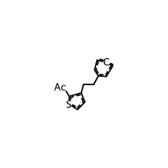 CC(=O)c1sccc1CCc1ccccc1